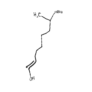 CCCCC(C)CCCCC=CO